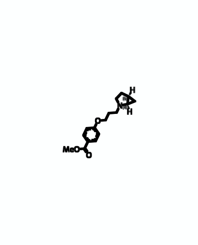 COC(=O)c1ccc(OCCCN2CC[C@H]3C[C@H]32)cc1